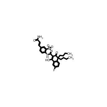 CCCCC1(CCCC)C(=O)C(C2=NS(=O)(=O)c3cc(C=CC(N)=O)ccc3N2)=C(O)c2cc(F)ccc21